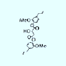 C=CCc1ccc(OC(=O)C[C@H](O)C(=O)Oc2ccc(CC=C)cc2OC)c(OC)c1